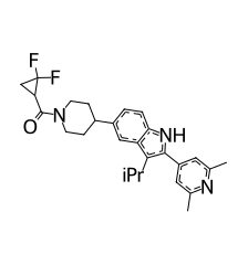 Cc1cc(-c2[nH]c3ccc(C4CCN(C(=O)C5CC5(F)F)CC4)cc3c2C(C)C)cc(C)n1